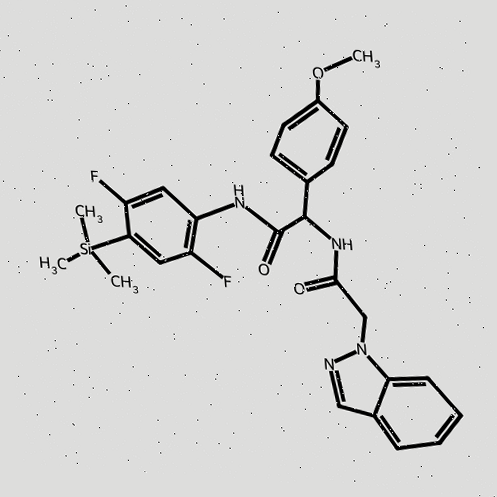 COc1ccc(C(NC(=O)Cn2ncc3ccccc32)C(=O)Nc2cc(F)c([Si](C)(C)C)cc2F)cc1